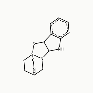 c1ccc2c(c1)NC1C2SS23CCC(CN12)NC3